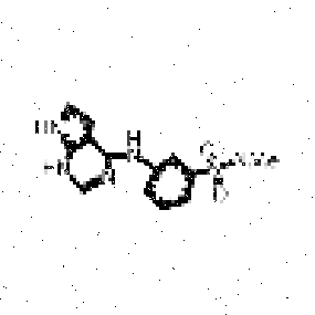 CNS(=O)(=O)c1cccc(NC2N=CNc3[nH]ccc32)c1